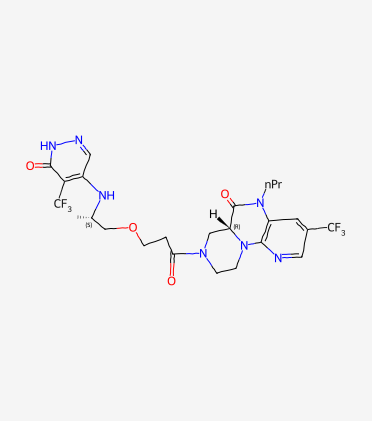 CCCN1C(=O)[C@H]2CN(C(=O)CCOC[C@H](C)Nc3cn[nH]c(=O)c3C(F)(F)F)CCN2c2ncc(C(F)(F)F)cc21